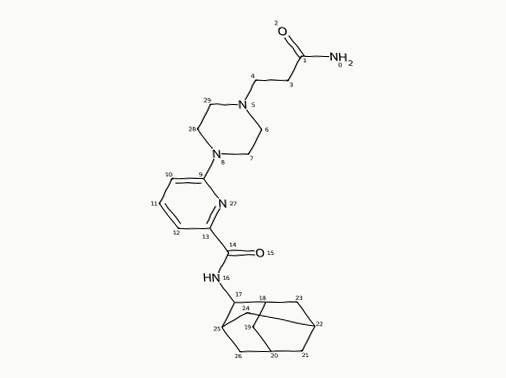 NC(=O)CCN1CCN(c2cccc(C(=O)NC3C4CC5CC(C4)CC3C5)n2)CC1